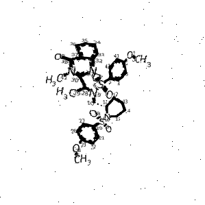 COc1ccc(S(=O)(=O)N(C[C@@H]2CCCCN2S(=O)(=O)c2ccc(OC)cc2)C(C)c2nc3ccccc3c(=O)n2C)cc1